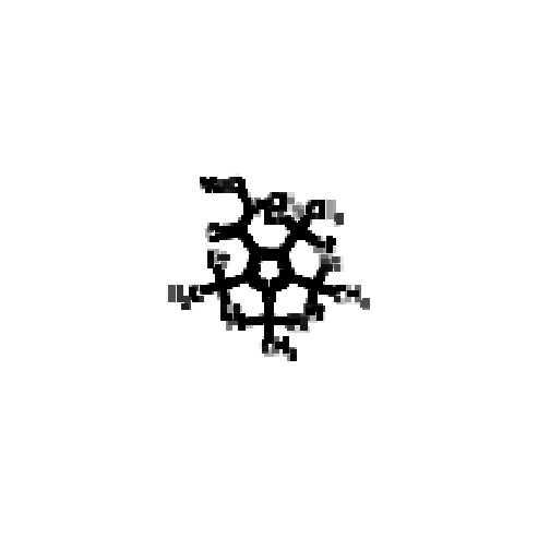 CCC(C)(CC)c1c(C(=O)N(C)OC)c(C(C)(CC)CC)n(C(C)(CC)CC)c1C(C)(CC)CC